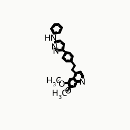 COc1cc2nccc(CCc3ccc(-c4ccc(Nc5ccccc5)nn4)cc3)c2cc1OC